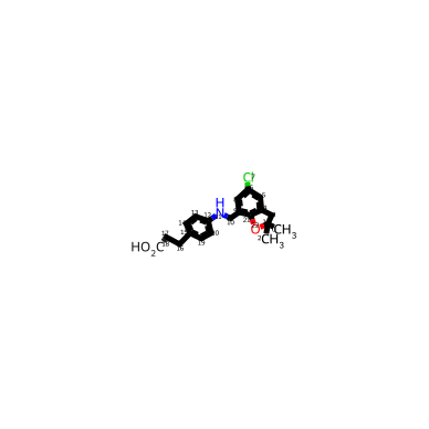 CC1(C)Cc2cc(Cl)cc(CNc3ccc(CCC(=O)O)cc3)c2O1